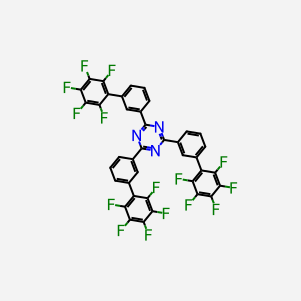 Fc1c(F)c(F)c(-c2cccc(-c3nc(-c4cccc(-c5c(F)c(F)c(F)c(F)c5F)c4)nc(-c4cccc(-c5c(F)c(F)c(F)c(F)c5F)c4)n3)c2)c(F)c1F